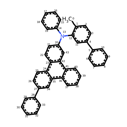 Cc1ccc(-c2ccccc2)cc1N(c1ccccc1)c1ccc2c3ccc(-c4ccccc4)cc3c3ccccc3c2c1